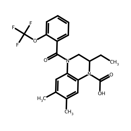 CCC1CN(C(=O)c2ccccc2OC(F)(F)F)c2cc(C)c(C)cc2N1C(=O)O